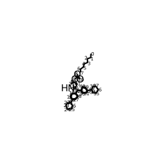 CCCCCCCCOC(=O)O[C@H]1CN[C@@H](C(c2ccc(C3CCCCC3)cc2)c2ccc(C3CCCCC3)cc2)C1